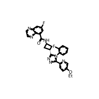 CCOc1ccc(-c2nnc([C@H]3C[C@H](NC(=O)c4cc(F)cc5nccnc45)C3)n2-c2ccccc2F)nc1